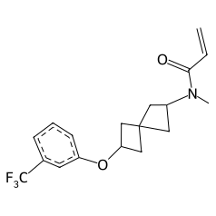 C=CC(=O)N(C)C1CC2(CC(Oc3cccc(C(F)(F)F)c3)C2)C1